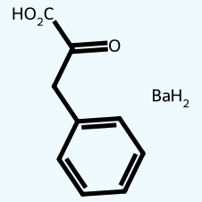 O=C(O)C(=O)Cc1ccccc1.[BaH2]